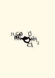 CS(=O)(=O)Nc1cc(Cl)c(N)c(Cl)c1